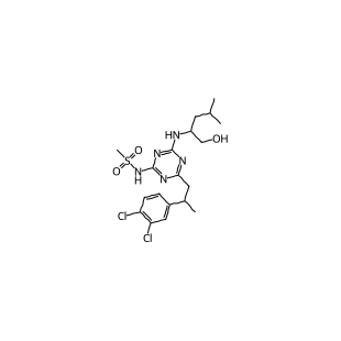 CC(C)CC(CO)Nc1nc(CC(C)c2ccc(Cl)c(Cl)c2)nc(NS(C)(=O)=O)n1